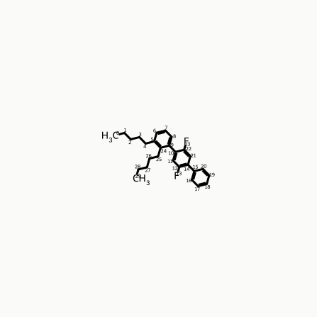 CCCCCc1cccc(-c2cc(F)c(-c3ccccc3)cc2F)c1CCCCC